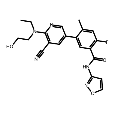 CCN(CCO)c1ncc(-c2cc(C(=O)Nc3ccon3)c(F)cc2C)cc1C#N